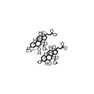 COC(=O)[C@H]1[C@@H]2[C@H](CC[C@@]3(C)[C@H]2CC[C@@]3(O)CCC(=O)[O-])[C@@]2(C)CCC(=O)C=C2[C@@H]1O.COC(=O)[C@H]1[C@@H]2[C@H](CC[C@@]3(C)[C@H]2CC[C@@]3(O)CCC(=O)[O-])[C@@]2(C)CCC(=O)C=C2[C@@H]1O.[Ca+2]